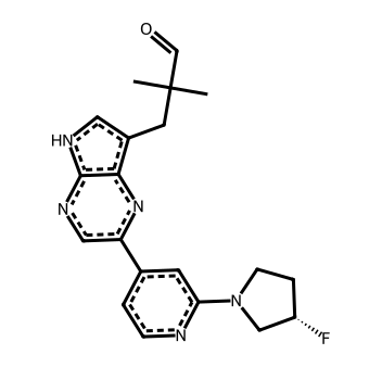 CC(C)(C=O)Cc1c[nH]c2ncc(-c3ccnc(N4CC[C@H](F)C4)c3)nc12